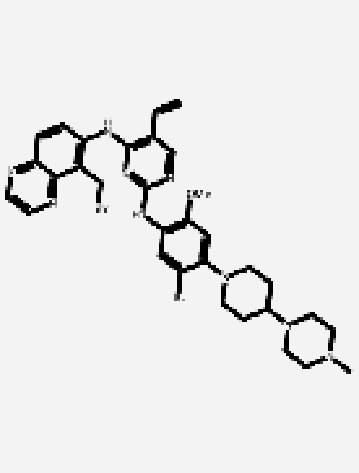 C=Cc1cnc(Nc2cc(CC)c(N3CCC(N4CCN(C)CC4)CC3)cc2OC)nc1Nc1ccc2nccnc2c1CC(C)C